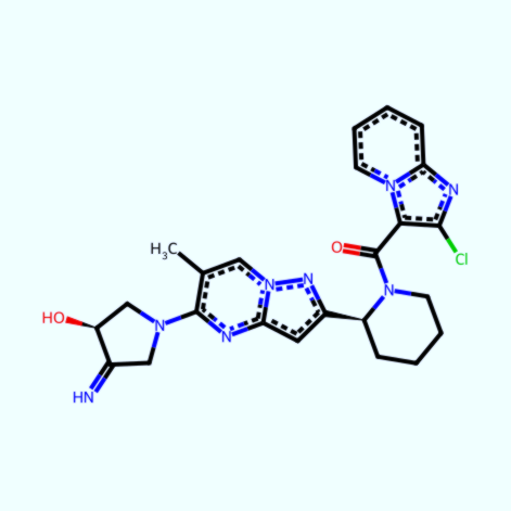 Cc1cn2nc([C@@H]3CCCCN3C(=O)c3c(Cl)nc4ccccn34)cc2nc1N1CC(=N)[C@@H](O)C1